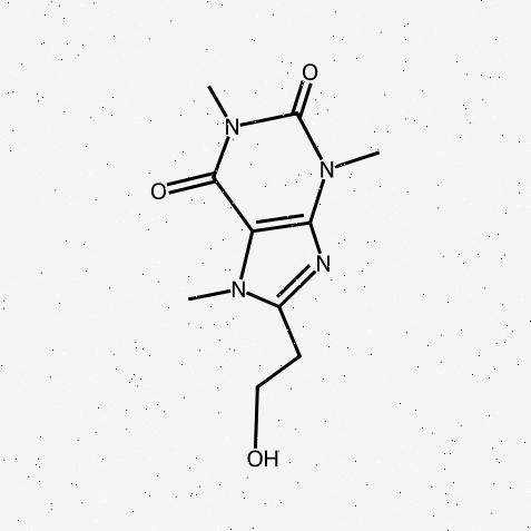 Cn1c(=O)c2c(nc(CCO)n2C)n(C)c1=O